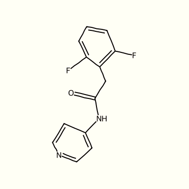 O=C(Cc1c(F)cccc1F)Nc1ccncc1